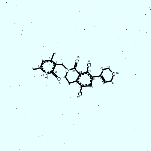 Cc1cc(C)c(CN2CCc3c(Cl)cc(C4=CCOCC4)c(Cl)c3C2=O)c(=O)[nH]1